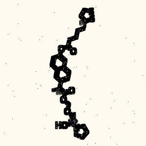 C[C@H](C(=O)OCO/N=[N+](\O)N1CCCC1)c1ccc2cc(OC(=O)CCCC[C@@H]3CCSS3)ccc2c1